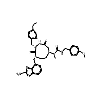 COc1ccc(CNC(=O)N(C)N2CCN(Cc3cccc4sc(N)nc34)C(=O)[C@H](Cc3ccc(OC)cc3)NC(=O)C2)cc1